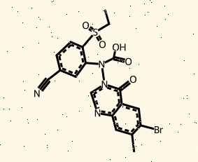 CCS(=O)(=O)c1ccc(C#N)cc1N(C(=O)O)n1cnc2cc(C)c(Br)cc2c1=O